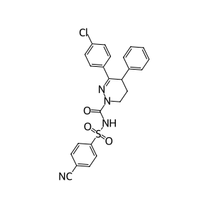 N#Cc1ccc(S(=O)(=O)NC(=O)N2CCC(c3ccccc3)C(c3ccc(Cl)cc3)=N2)cc1